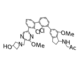 COc1cc(-c2cccc(-c3cccc(-c4cnc(CN5CC(O)C5)c(OC)n4)c3Cl)c2Cl)cc2c1C(NCC(C)=O)CC2